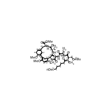 CCCCCCCCCCCCCCCC(=O)N(C)[C@H](COCCCC)C(=O)N[C@H](C)C(=O)NCC(=O)N(C)[C@@H]1C(=O)N[C@@H](C)C(=O)N[C@H](C(=O)OC)CC2=CC[C@H](OC)C(=C2)C2=C(OC)C=C[C@H]1C2